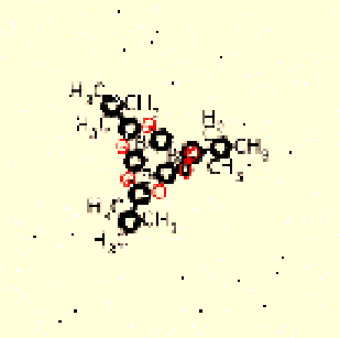 Cc1cc(C)c(-c2cc3c4c(c2)Oc2cc5c(cc2B4c2ccccc2O3)B2c3cc4c(cc3Oc3cc(-c6c(C)cc(C)cc6C)cc(c32)O5)Oc2cc(-c3c(C)cc(C)cc3C)cc3c2B4c2ccccc2O3)c(C)c1